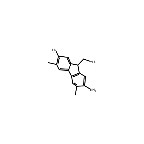 Cc1cc2c(cc1N)C(CN)c1cc(N)c(C)cc1-2